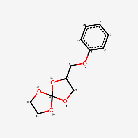 c1ccc(OCC2COC3(OCCO3)O2)cc1